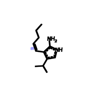 CCC/C=C\c1c(C(C)C)c[nH]c1N